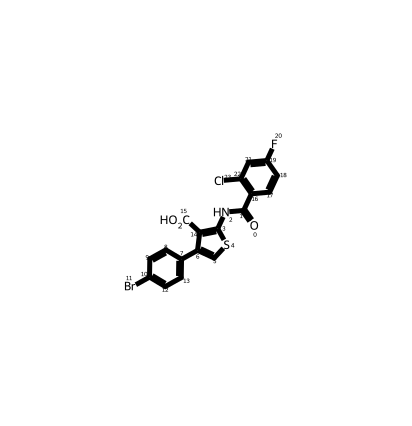 O=C(Nc1scc(-c2ccc(Br)cc2)c1C(=O)O)c1ccc(F)cc1Cl